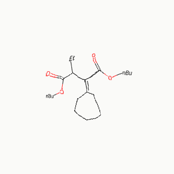 CCCCOC(=O)C(=C1CCCCC1)C(CC)C(=O)OCCCC